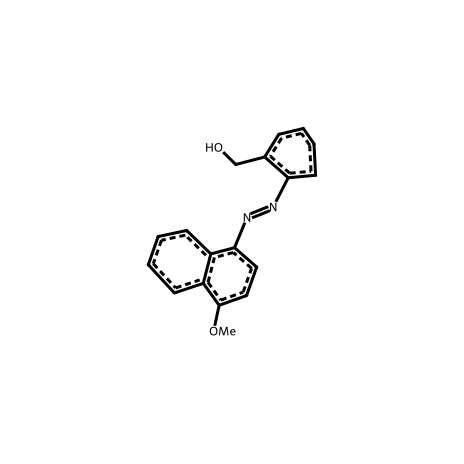 COc1ccc(/N=N/c2ccccc2CO)c2ccccc12